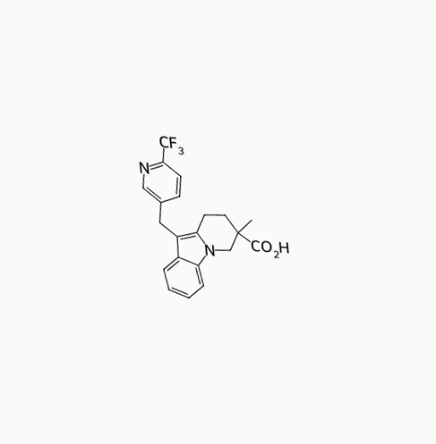 CC1(C(=O)O)CCc2c(Cc3ccc(C(F)(F)F)nc3)c3ccccc3n2C1